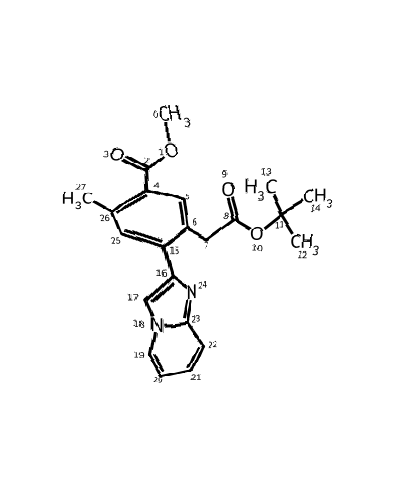 COC(=O)c1cc(CC(=O)OC(C)(C)C)c(-c2cn3ccccc3n2)cc1C